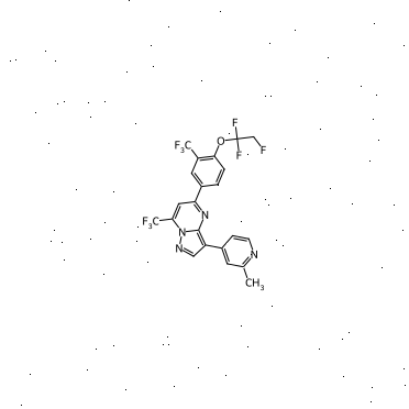 Cc1cc(-c2cnn3c(C(F)(F)F)cc(-c4ccc(OC(F)(F)CF)c(C(F)(F)F)c4)nc23)ccn1